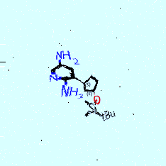 CC(C)(C)[Si](C)(C)O[C@H]1CC[C@H](c2cc(N)cnc2N)C1